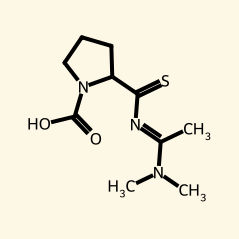 C/C(=N\C(=S)C1CCCN1C(=O)O)N(C)C